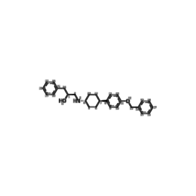 OC(CN[C@H]1CC[C@H](c2ccc(OCc3ccccc3)cc2)CC1)Cc1ccccc1